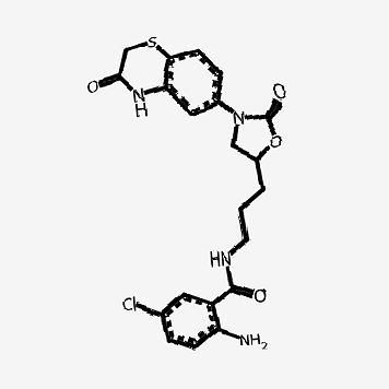 Nc1ccc(Cl)cc1C(=O)NCCCC1CN(c2ccc3c(c2)NC(=O)CS3)C(=O)O1